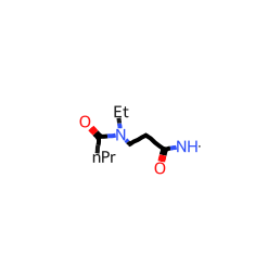 CCCC(=O)N(CC)CCC([NH])=O